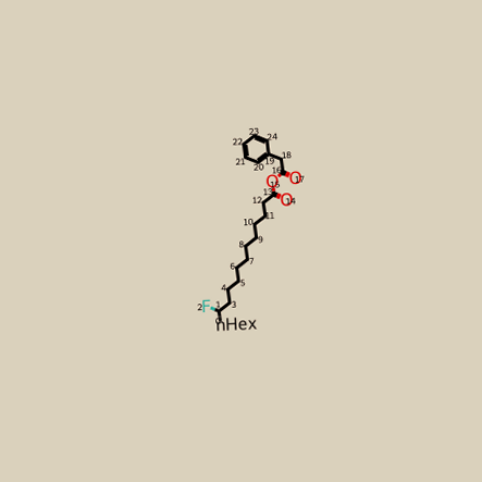 CCCCCCC(F)CCCCCCCCCCC(=O)OC(=O)Cc1ccccc1